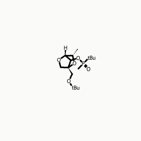 C[C@@H]1O[C@]2(COC(C)(C)C)CO[C@H]1C2OP(C)(=O)C(C)(C)C